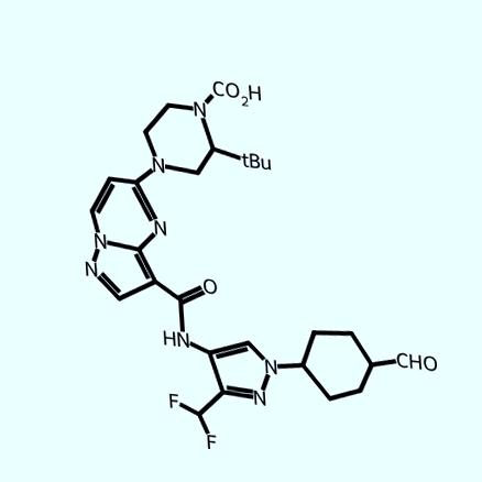 CC(C)(C)C1CN(c2ccn3ncc(C(=O)Nc4cn(C5CCC(C=O)CC5)nc4C(F)F)c3n2)CCN1C(=O)O